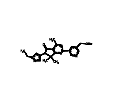 COCc1cncc(-c2cc(C)c3c(n2)C(C)(C)N(c2cnn(CC(F)(F)F)c2)C3=O)c1